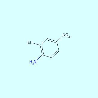 CCc1cc([N+](=O)[O-])ccc1N